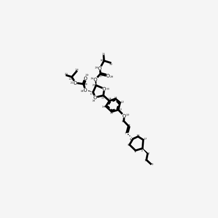 CCC[C@H]1CC[C@H](/C=C/COc2ccc(C3O[C@H](OC(=O)OC(C)C)[C@@H](OC(=O)OC(C)C)O3)cc2)CC1